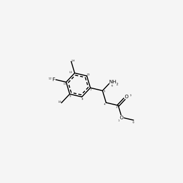 COC(=O)CC(N)c1cc(C)c(F)c(C)c1